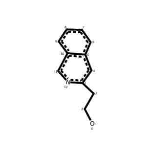 [O]CCc1cc2ccccc2cn1